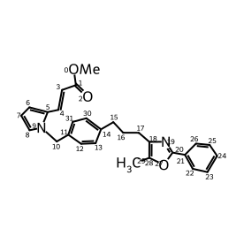 COC(=O)/C=C/c1cccn1Cc1ccc(CCCc2nc(-c3ccccc3)oc2C)cc1